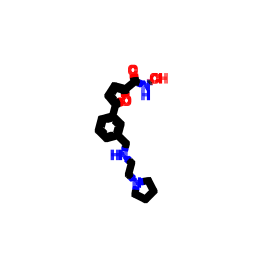 O=C(NO)c1ccc(-c2cccc(CNCCN3CCCC3)c2)o1